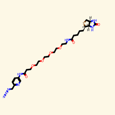 [N-]=[N+]=NCc1ccc(NC(=O)CCOCCOCCOCCOCCNC(=O)CCCC[C@H]2SC[C@H]3NC(=O)N[C@H]32)cn1